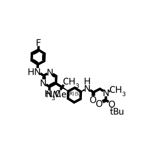 CNc1nc(Nc2ccc(F)cc2)ncc1C(C)(C)[C@@H]1CCC[C@H](NC(=O)CN(C)C(=O)OC(C)(C)C)C1